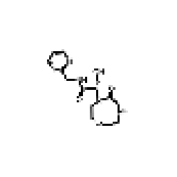 O=C(NCc1ncccn1)[C@H](CO)N1CCCCCNCC1=O